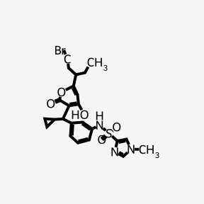 CCC(CCBr)c1cc(O)c(C(c2cccc(NS(=O)(=O)c3cn(C)cn3)c2)C2CC2)c(=O)o1